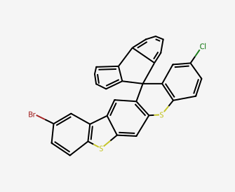 Clc1ccc2c(c1)C1(c3cc4c(cc3S2)sc2ccc(Br)cc24)c2ccccc2-c2ccccc21